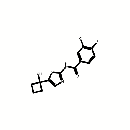 O=C(Nc1ncc(C2(O)CCC2)s1)c1ccc(F)c(Cl)c1